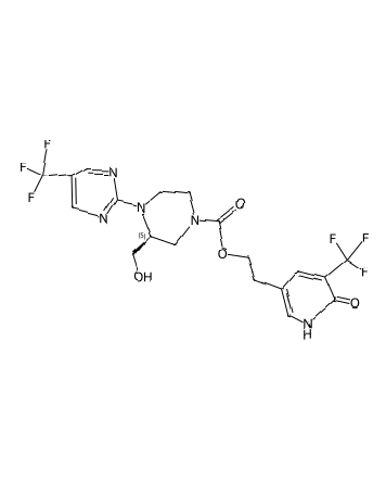 O=C(OCCc1c[nH]c(=O)c(C(F)(F)F)c1)N1CCN(c2ncc(C(F)(F)F)cn2)[C@H](CO)C1